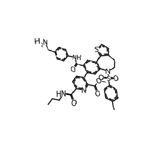 CCCNC(=O)c1ccc(-c2cc3c(cc2C(=O)Nc2ccc(CN)cc2)-c2sccc2CCN3S(=O)(=O)c2ccc(C)cc2)c(C(=O)OC)n1